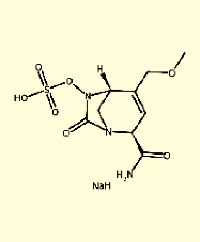 COCC1=C[C@@H](C(N)=O)N2C[C@@H]1N(OS(=O)(=O)O)C2=O.[NaH]